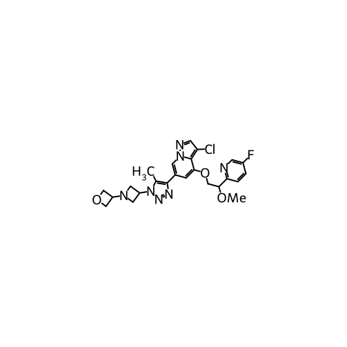 COC(COc1cc(-c2nnn(C3CN(C4COC4)C3)c2C)cn2ncc(Cl)c12)c1ccc(F)cn1